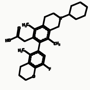 Cc1c(-c2c(C)c3c(c(C)c2CC(=O)O)CCN(C2CCCCC2)C3)cc(F)c2c1CCCO2